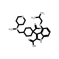 CC(C)COc1cccc2[nH]c(C(=O)O)c(C3(C(N)=O)CCC(CN(C)C4CCOCC4)CC3)c12